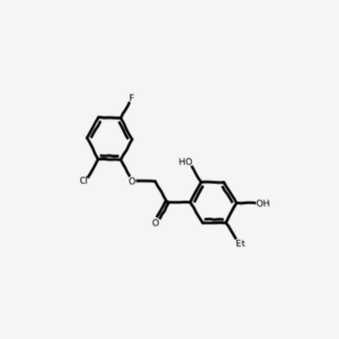 CCc1cc(C(=O)COc2cc(F)ccc2Cl)c(O)cc1O